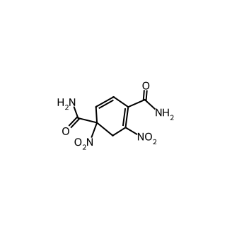 NC(=O)C1=C([N+](=O)[O-])CC(C(N)=O)([N+](=O)[O-])C=C1